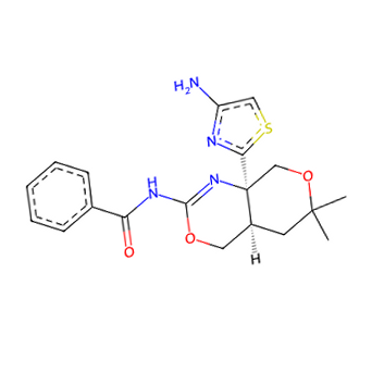 CC1(C)C[C@H]2COC(NC(=O)c3ccccc3)=N[C@@]2(c2nc(N)cs2)CO1